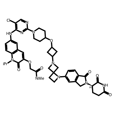 CNC(=O)COc1cc2cc(Nc3nc(N4CCC(OC5CC(N6CC7(CCN7c7ccc8c(c7)CN([C@@H]7CCC(=O)NC7=O)C8=O)C6)C5)CC4)ncc3Cl)ccc2n(C(C)C)c1=O